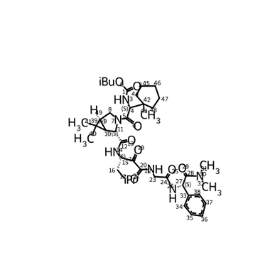 CC(C)COC(=O)N[C@H](C(=O)N1C[C@H]2C([C@H]1C(=O)N[C@@H](CC(C)C)C(=O)C(=O)NCC(=O)N[C@H](C(=O)N(C)C)c1ccccc1)C2(C)C)C1(C)CCCCC1